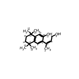 C/C(=C/CO)c1cc2c(cc1O)C(C)(C)CCC2(C)C